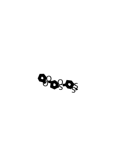 c1ccc2c(c1)OC(c1ccc3c(c1)OC(c1ccc4c(c1)SCS4)S3)O2